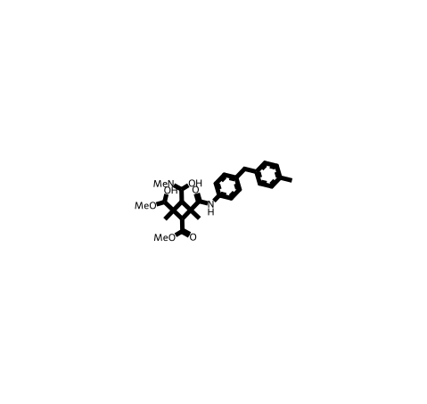 CNC(O)C1C(C)(C(=O)Nc2ccc(Cc3ccc(C)cc3)cc2)C(C(=O)OC)C1(C)C(O)OC